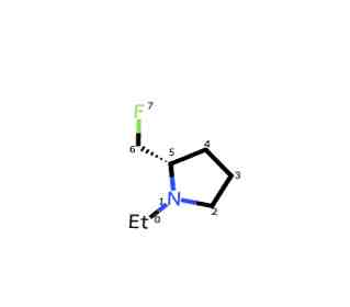 CCN1CCC[C@H]1CF